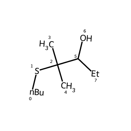 CCCCSC(C)(C)C(O)CC